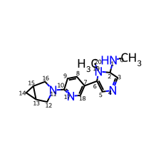 CNC1C=NC=C(c2ccc(N3CC4CC4C3)nc2)N1C